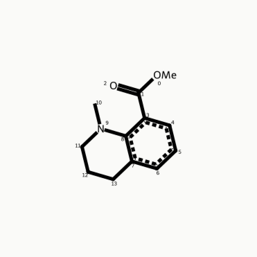 COC(=O)c1cccc2c1N(C)CCC2